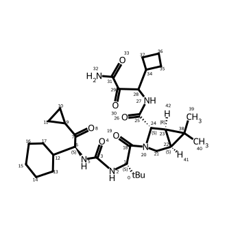 CC(C)(C)[C@H](NC(=O)N[C@H](C(=O)C1CC1)C1CCCCC1)C(=O)N1C[C@H]2[C@@H]([C@H]1C(=O)NC(C(=O)C(N)=O)C1CCC1)C2(C)C